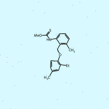 CCc1cc(C)ccc1OCc1c(C)cccc1NC(=S)OC